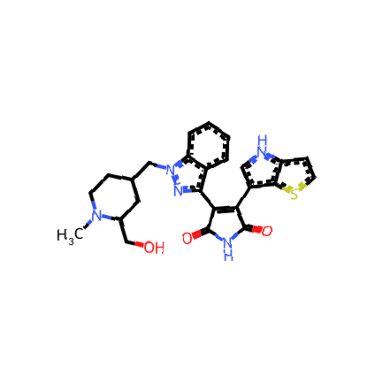 CN1CCC(Cn2nc(C3=C(c4c[nH]c5ccsc45)C(=O)NC3=O)c3ccccc32)CC1CO